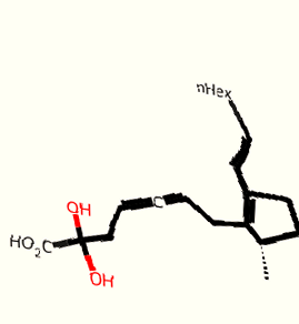 CCCCCC/C=C/C1=C(CC=C=CCC(O)(O)C(=O)O)[C@@H](C)CC1